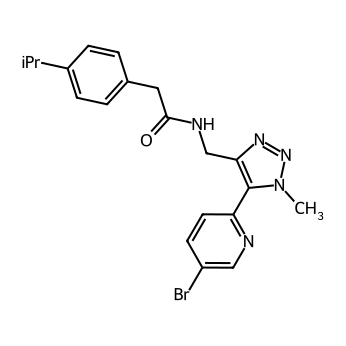 CC(C)c1ccc(CC(=O)NCc2nnn(C)c2-c2ccc(Br)cn2)cc1